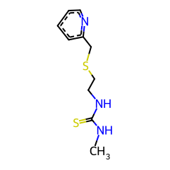 CNC(=S)NCCSCc1ccccn1